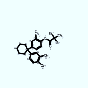 CCC(C)(CC)C(=O)Oc1ccc(C2(c3ccc(O)c(C)c3)CCCCC2)cc1C